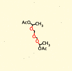 CC(=O)OC(C)OCOCOC(C)OC(C)=O